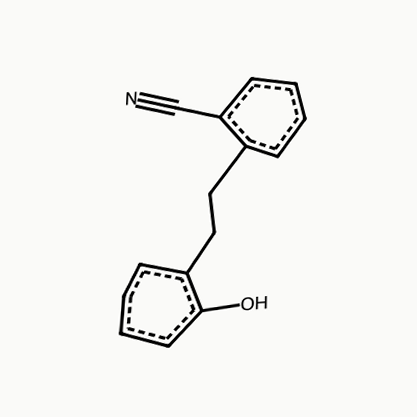 N#Cc1ccccc1CCc1ccccc1O